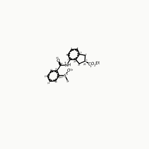 CCOC(=O)[C@@H]1Cc2cccc(NC(=O)c3ccccc3[S+](C)[O-])c2C1